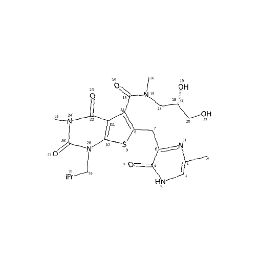 Cc1c[nH]c(=O)c(Cc2sc3c(c2C(=O)N(C)C[C@H](O)CO)c(=O)n(C)c(=O)n3CC(C)C)n1